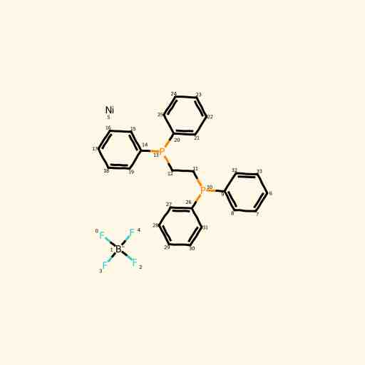 F[B-](F)(F)F.[Ni].c1ccc(P(CCP(c2ccccc2)c2ccccc2)c2ccccc2)cc1